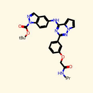 CC(C)NC(=O)COc1cccc(-c2nc(Nc3ccc4c(cnn4C(=O)OC(C)(C)C)c3)c3cccn3n2)c1